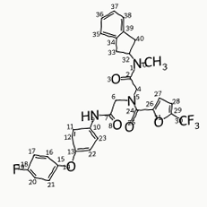 CN(C(=O)CN(CC(=O)Nc1ccc(Oc2ccc(F)cc2)cc1)C(=O)c1ccc(C(F)(F)F)o1)C1Cc2ccccc2C1